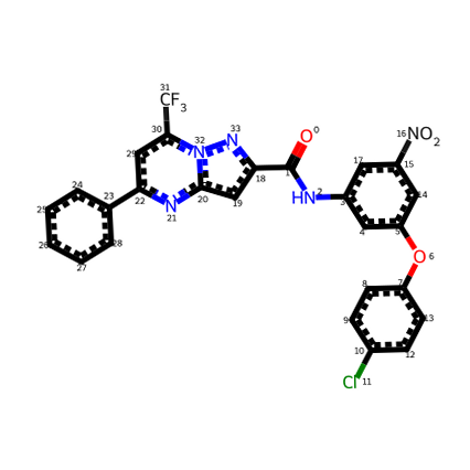 O=C(Nc1cc(Oc2ccc(Cl)cc2)cc([N+](=O)[O-])c1)c1cc2nc(-c3ccccc3)cc(C(F)(F)F)n2n1